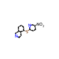 O=[N+]([O-])c1ccc(Sc2cccc3cnccc23)nc1